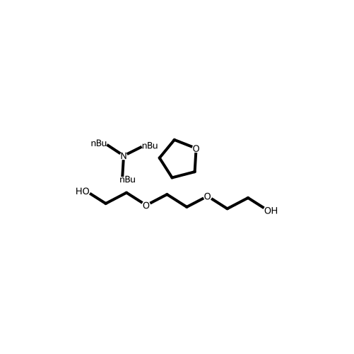 C1CCOC1.CCCCN(CCCC)CCCC.OCCOCCOCCO